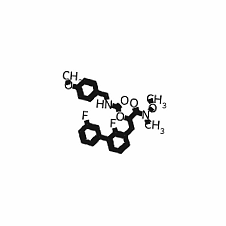 COc1ccc(CNC(=O)OC(Cc2cccc(-c3cccc(F)c3)c2F)C(=O)N(C)OC)cc1